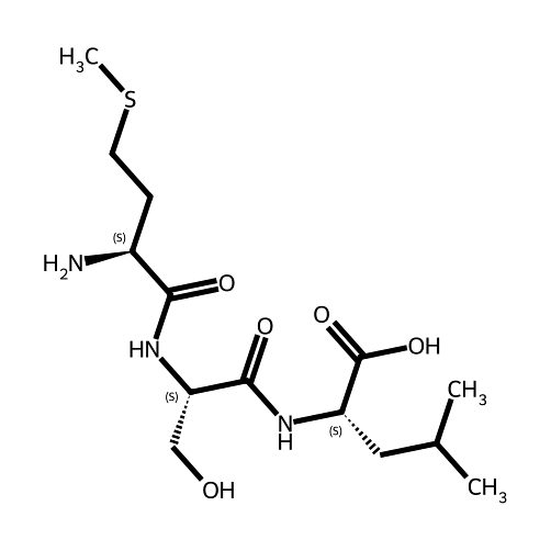 CSCC[C@H](N)C(=O)N[C@@H](CO)C(=O)N[C@@H](CC(C)C)C(=O)O